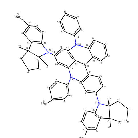 CC(C)(C)c1ccc(N2c3cc(N4c5ccc(C(C)(C)C)cc5C5(C)CCCCC45C)ccc3B3c4ccccc4N(c4ccccc4)c4cc(N5c6ccc(C(C)(C)C)cc6C6(C)CCCC56C)cc2c43)cc1